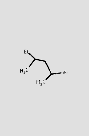 [CH2]CC(C)CC(C)CCC